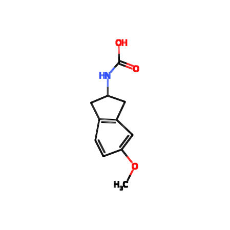 COc1ccc2c(c1)CC(NC(=O)O)C2